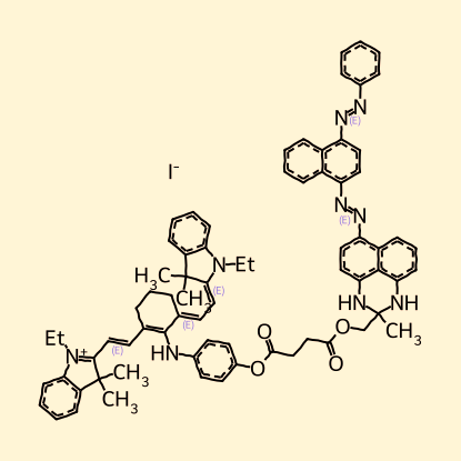 CCN1/C(=C/C=C2\CCCC(/C=C/C3=[N+](CC)c4ccccc4C3(C)C)=C2Nc2ccc(OC(=O)CCC(=O)OCC3(C)Nc4cccc5c(/N=N/c6ccc(/N=N/c7ccccc7)c7ccccc67)ccc(c45)N3)cc2)C(C)(C)c2ccccc21.[I-]